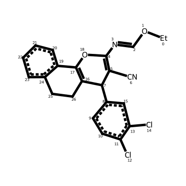 CCOC=NC1=C(C#N)C(c2ccc(Cl)c(Cl)c2)C2=C(O1)c1ccccc1CC2